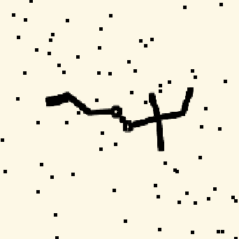 C=CCOOC(C)(C)CC